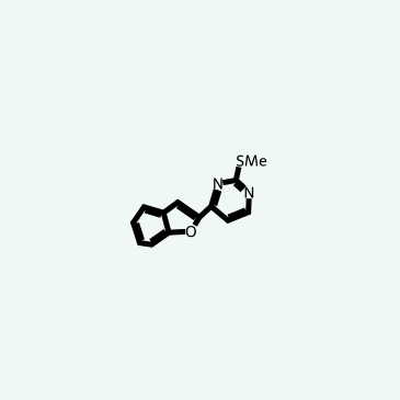 CSc1nccc(-c2cc3ccccc3o2)n1